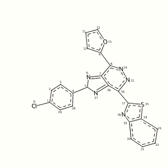 Clc1ccc(C2N=c3c(-c4ccco4)nnc(-c4nc5ccccc5s4)c3=N2)cc1